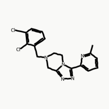 Cc1cccc(-c2nnc3n2CCN(Cc2cccc(Cl)c2Cl)C3)n1